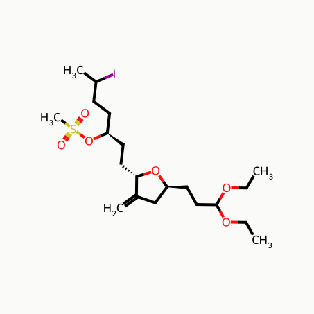 C=C1C[C@H](CCC(OCC)OCC)O[C@H]1CC[C@H](CCC(C)I)OS(C)(=O)=O